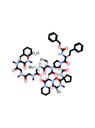 CC[C@H](C)[C@H](NC(=O)[C@H](CC(C)C)N(C)C(=O)C[C@@H](C(=O)N1CCCCC1)N(C)C(=O)[C@H](C(C)C)N(C)C(=O)C1(NC(=O)[C@@H]2CCCN2C(=O)[C@H](CCc2ccccc2)NC(=O)OCc2ccccc2)CCCC1)C(=O)N(C)CC(=O)N(C)CC(=O)N(C)[C@@H](CC1CCCCC1)C(=O)N(C)CC(=O)O